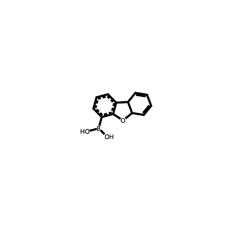 OB(O)c1cccc2c1OC1C=CC=CC21